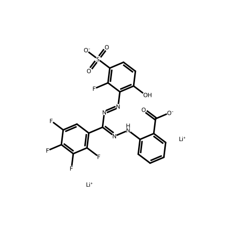 O=C([O-])c1ccccc1NN=C(N=Nc1c(O)ccc(S(=O)(=O)[O-])c1F)c1cc(F)c(F)c(F)c1F.[Li+].[Li+]